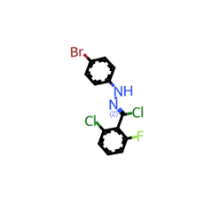 Fc1cccc(Cl)c1/C(Cl)=N/Nc1ccc(Br)cc1